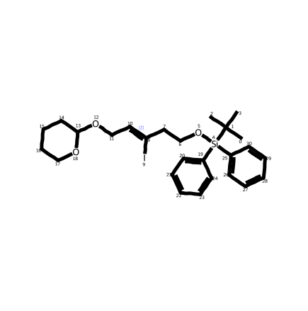 CC(C)(C)[Si](OCC/C(I)=C/COC1CCCCO1)(c1ccccc1)c1ccccc1